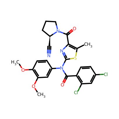 COc1ccc(N(C(=O)c2ccc(Cl)cc2Cl)c2nc(C(=O)N3CCC[C@@H]3C#N)c(C)s2)cc1OC